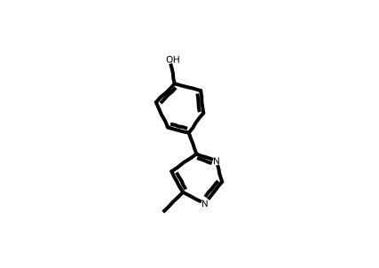 Cc1cc(-c2ccc(O)cc2)ncn1